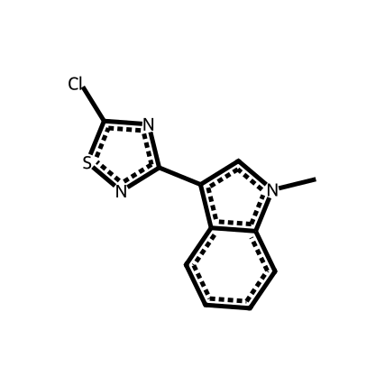 Cn1cc(-c2nsc(Cl)n2)c2ccccc21